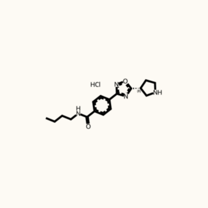 CCCCNC(=O)c1ccc(-c2noc([C@@H]3CCNC3)n2)cc1.Cl